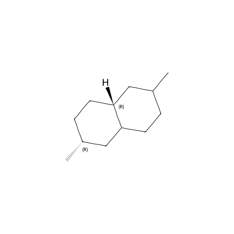 CC1CCC2C[C@H](C)CC[C@@H]2C1